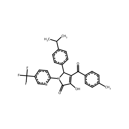 Cc1ccc(C(=O)C2=C(O)C(=O)N(c3ccc(C(F)(F)F)cn3)C2c2ccc(C(C)C)cc2)cc1